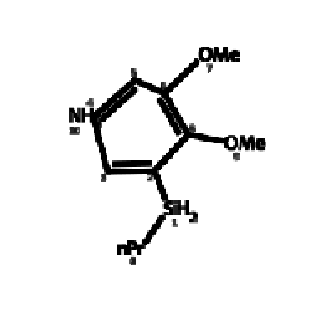 CCC[SiH2]c1cccc(OC)c1OC.N